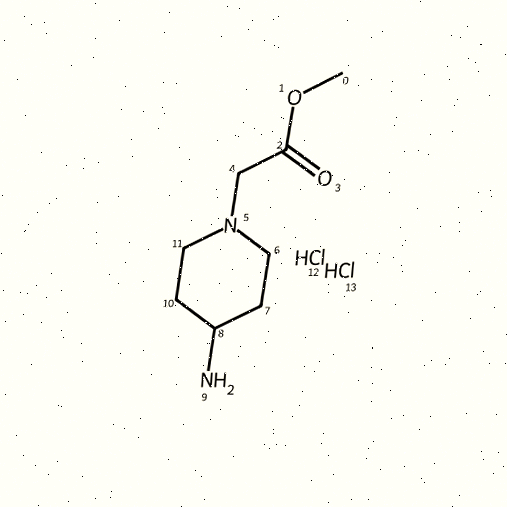 COC(=O)CN1CCC(N)CC1.Cl.Cl